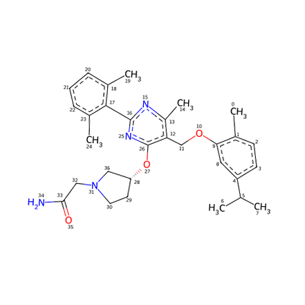 Cc1ccc(C(C)C)cc1OCc1c(C)nc(-c2c(C)cccc2C)nc1O[C@@H]1CCN(CC(N)=O)C1